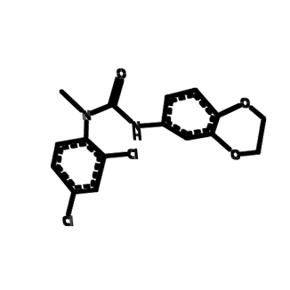 CN(C(=O)Nc1ccc2c(c1)OCCO2)c1ccc(Cl)cc1Cl